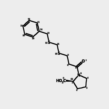 O=C(O)[C@@H]1CCCN1C(=O)CCSCSCc1ccccc1